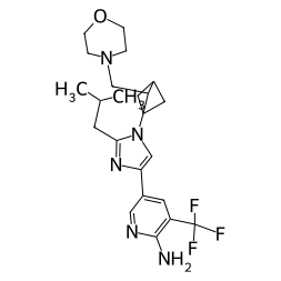 CC(C)Cc1nc(-c2cnc(N)c(C(F)(F)F)c2)cn1C12CC(C1)C2CN1CCOCC1